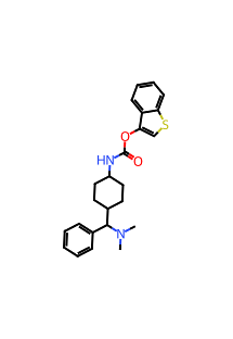 CN(C)C(c1ccccc1)C1CCC(NC(=O)Oc2csc3ccccc23)CC1